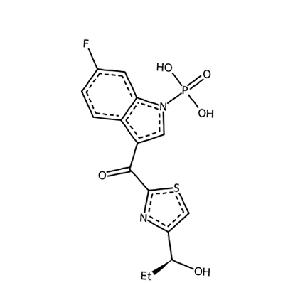 CC[C@H](O)c1csc(C(=O)c2cn(P(=O)(O)O)c3cc(F)ccc23)n1